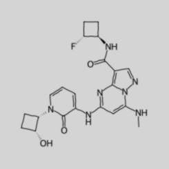 CNc1cc(Nc2cccn([C@H]3CC[C@H]3O)c2=O)nc2c(C(=O)N[C@@H]3CC[C@H]3F)cnn12